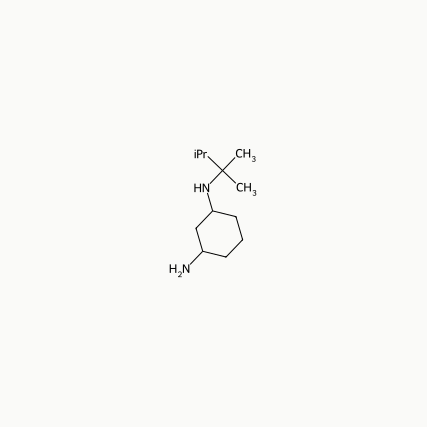 CC(C)C(C)(C)NC1CCCC(N)C1